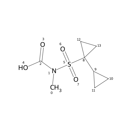 CN(C(=O)O)S(=O)(=O)C1(C2CC2)CC1